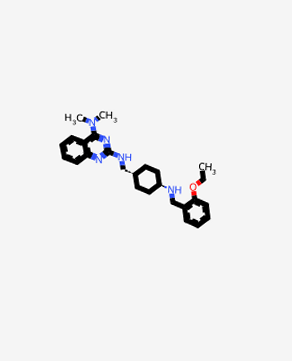 CCOc1ccccc1CN[C@H]1CC[C@@H](CNc2nc(N(C)C)c3ccccc3n2)CC1